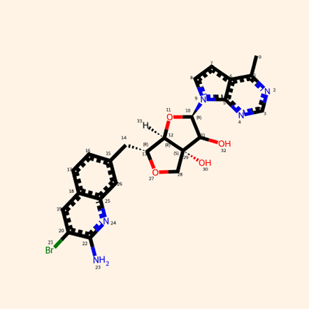 Cc1ncnc2c1ccn2[C@@H]1O[C@@H]2[C@@H](Cc3ccc4cc(Br)c(N)nc4c3)OC[C@]2(O)C1O